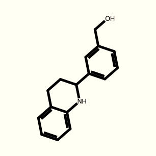 OCc1cccc(C2CCc3ccccc3N2)c1